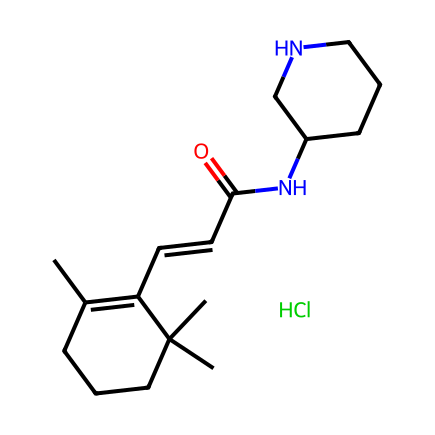 CC1=C(C=CC(=O)NC2CCCNC2)C(C)(C)CCC1.Cl